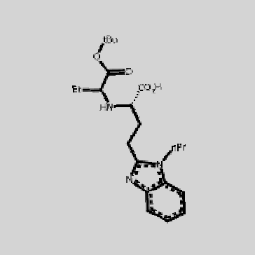 CCCn1c(CC[C@H](NC(CC)C(=O)OC(C)(C)C)C(=O)O)nc2ccccc21